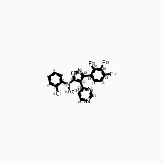 CC(=O)N(c1ccccc1Cl)c1onc(-c2ccc(F)c(F)c2F)c1-c1ccncn1